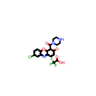 O=C(O)C(F)(F)F.O=C(c1c2oc3ccc(Cl)cc3nc-2ccc1=O)N1CCNCC1